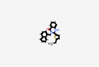 CCc1ccc(C2Nc3ccccc3C(=O)N2Cc2cccc3ccccc23)s1